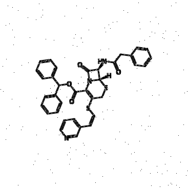 O=C(Cc1ccccc1)N[C@@H]1C(=O)N2C(C(=O)OC(c3ccccc3)c3ccccc3)=C(S/C=C\c3cccnc3)CS[C@@H]12